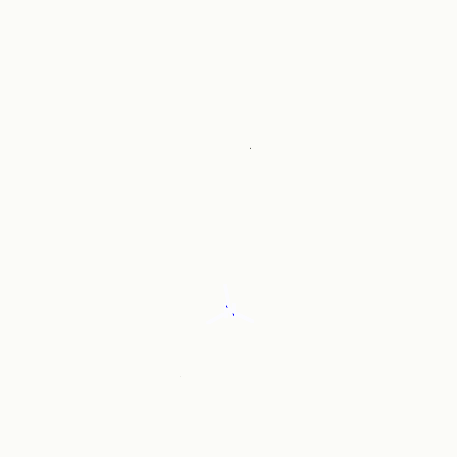 Cc1cccc2c3cc4c(cc3n(-c3ccccc3)c12)C(C)(C)c1ccccc1-4